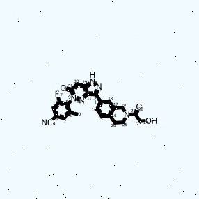 Cc1cc(C#N)cc(F)c1-n1nc2c(-c3ccc4c(c3)CN(C(=O)CO)CC4)n[nH]c2cc1=O